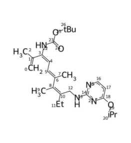 C=C(C)\C(=C/C=C(C)/C(C)=C(/CC)CNc1nccc(OC(C)C)n1)NC(=O)OC(C)(C)C